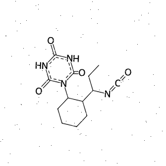 CCC(N=C=O)C1CCCCC1n1c(=O)[nH]c(=O)[nH]c1=O